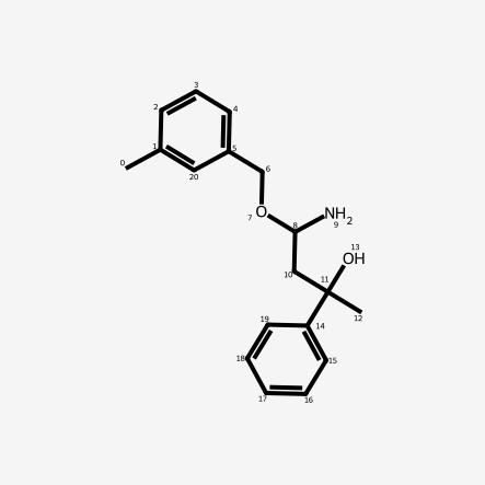 Cc1cccc(COC(N)CC(C)(O)c2ccccc2)c1